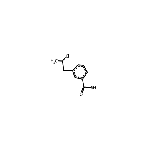 CC(Cl)Cc1cccc(C(=O)S)c1